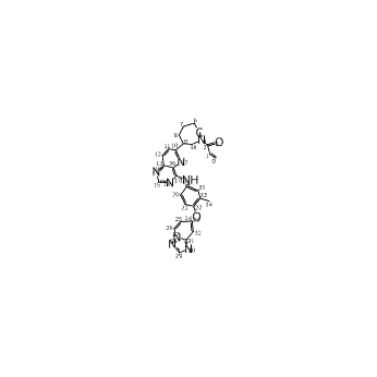 C=CC(=O)N1CCCCC(c2ccc3ncnc(Nc4ccc(Oc5ccn6ncnc6c5)c(C)c4)c3n2)C1